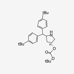 CC(C)(C)OC(=O)O[C@H]1CNC(C(c2ccc(C(C)(C)C)cc2)c2ccc(C(C)(C)C)cc2)C1